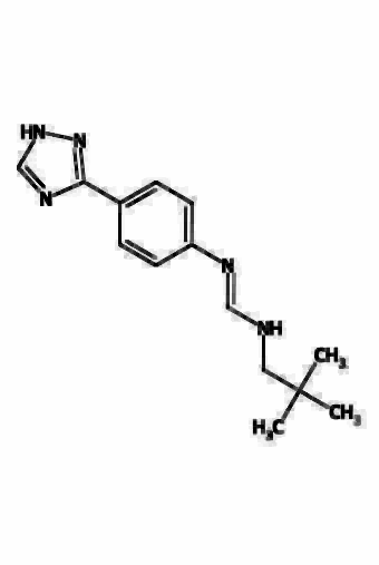 CC(C)(C)CN/C=N/c1ccc(-c2nc[nH]n2)cc1